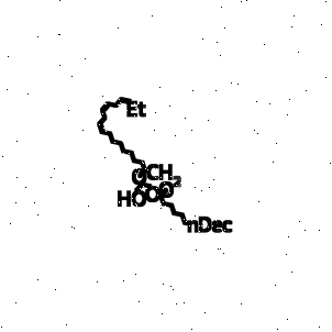 C=C(CCCCCCC/C=C\C/C=C\C/C=C\CC)OC(CO)COC(=O)CCCCCCCCCCCCCCC